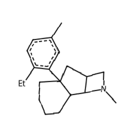 CCc1ccc(C)cc1C12CCCCC1C1C(CN1C)C2